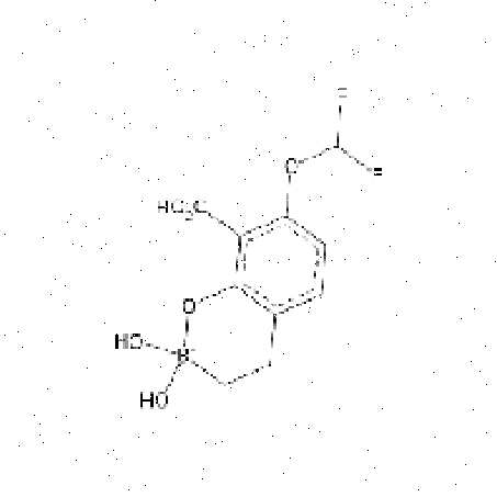 O=C(O)c1c(OC(F)F)ccc2c1O[B-](O)(O)CC2